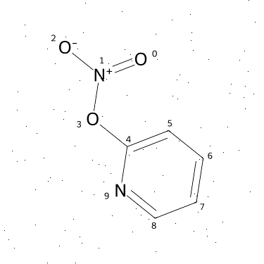 O=[N+]([O-])Oc1ccccn1